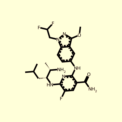 COc1nn(CC(F)F)c2ccc(Nc3nc(N[C@H](CC(C)C)[C@H](C)N)c(F)cc3C(N)=O)cc12